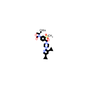 COC[C@@H]1COC(=O)N1c1ccc(C(=O)N2CCN(c3ncc(C4CC4)cc3C3CC3)CC2)c(S(C)(=O)=O)c1